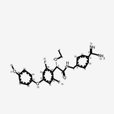 CCO[C@H](C(=O)NCc1ccc(C(=N)N)cc1)c1c(F)cc(Oc2ccc(OC)cc2)cc1F